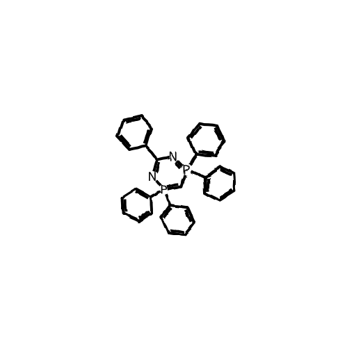 C1=P(c2ccccc2)(c2ccccc2)N=C(c2ccccc2)N=P1(c1ccccc1)c1ccccc1